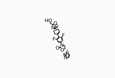 O=C(CO)N=S1(=O)CC=C(c2c(F)cc(N3C[C@H](Cn4ccnn4)OC3=O)cc2F)CC1